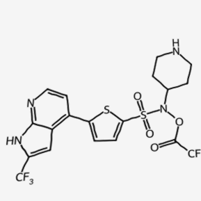 O=C(ON(C1CCNCC1)S(=O)(=O)c1ccc(-c2ccnc3[nH]c(C(F)(F)F)cc23)s1)C(F)(F)F